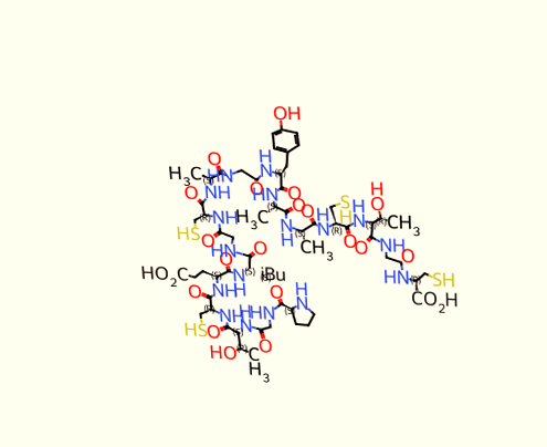 CC[C@H](C)[C@H](NC(=O)[C@H](CCC(=O)O)NC(=O)[C@H](CS)NC(=O)[C@@H](NC(=O)CNC(=O)[C@@H]1CCCN1)[C@@H](C)O)C(=O)NCC(=O)N[C@@H](CS)C(=O)N[C@@H](C)C(=O)NCC(=O)N[C@@H](Cc1ccc(O)cc1)C(=O)N[C@@H](C)C(=O)N[C@@H](C)C(=O)N[C@@H](CS)C(=O)N[C@H](C(=O)NCC(=O)N[C@@H](CS)C(=O)O)[C@@H](C)O